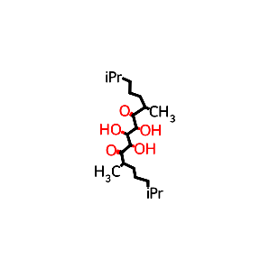 CC(C)CCCC(C)C(=O)C(O)C(O)C(O)C(=O)C(C)CCCC(C)C